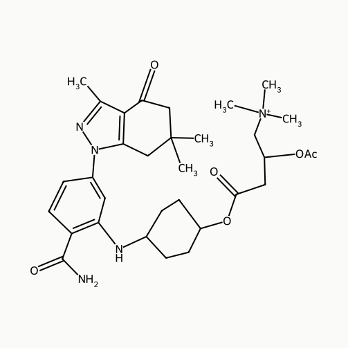 CC(=O)OC(CC(=O)OC1CCC(Nc2cc(-n3nc(C)c4c3CC(C)(C)CC4=O)ccc2C(N)=O)CC1)C[N+](C)(C)C